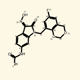 CC(C)C(=O)Nc1ccc2c(c1)N(Cc1cc(F)cc3c1OCOC3)C(=O)/C2=N\O